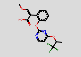 COC=C(C(=O)O)c1ccccc1Oc1nccc(OC(C)C(F)(F)F)n1